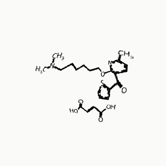 Cc1ccc(C(=O)c2cccs2)c(OCCCCCCN(C)C)n1.O=C(O)C=CC(=O)O